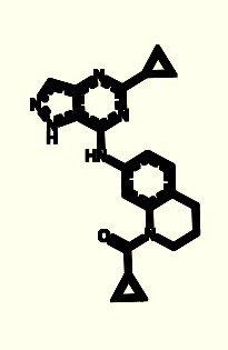 O=C(C1CC1)N1CCCc2ccc(Nc3nc(C4CC4)nc4cn[nH]c34)cc21